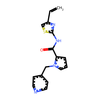 C=Cc1csc(NC(=O)c2cccn2Cc2ccncc2)n1